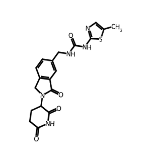 Cc1cnc(NC(=O)NCc2ccc3c(c2)C(=O)N(C2CCC(=O)NC2=O)C3)s1